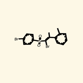 C/C(=C(/Br)S(=O)(=O)c1ccc(Br)cc1)c1ccccc1C